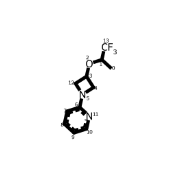 CC(OC1CN(c2ccccn2)C1)C(F)(F)F